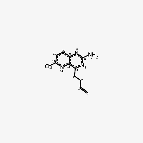 C=CCCc1nc(N)nc2ccc(Cl)nc12